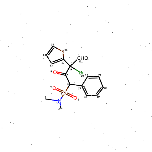 CN(C)S(=O)(=O)C(C(=O)C(Br)([C]=O)c1cccs1)c1ccccc1